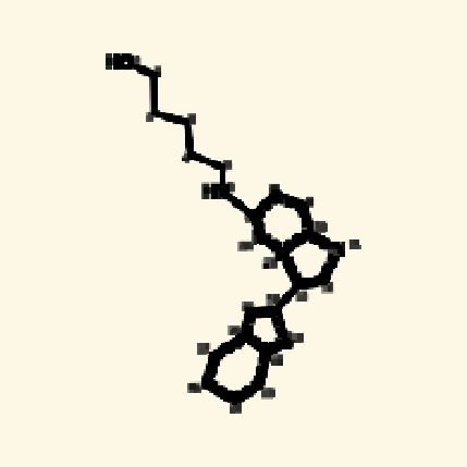 OCCCCCNc1ccc2ncc(-c3cc4ccccc4s3)n2n1